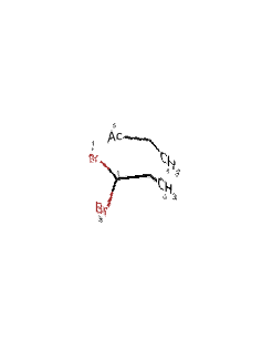 CC(Br)Br.CC(C)=O